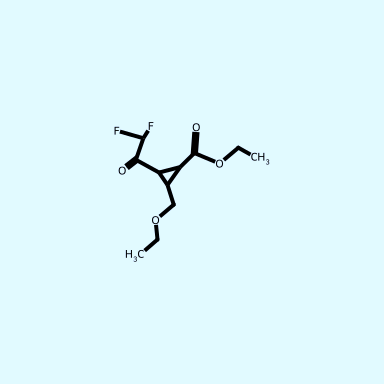 CCOCC1C(C(=O)OCC)C1C(=O)C(F)F